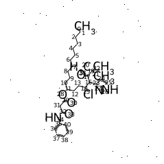 CCCCCCCCCCCC(CCC(Cl)C(C(=O)C(C)(C)C)c1cc[nH]n1)OC(=O)CC(=O)Nc1ccccc1